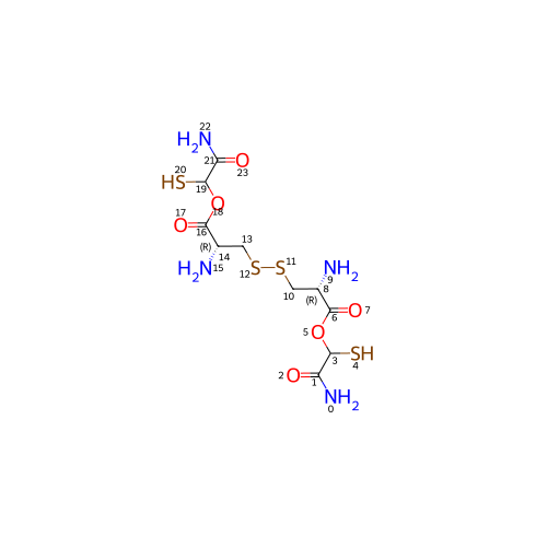 NC(=O)C(S)OC(=O)[C@@H](N)CSSC[C@H](N)C(=O)OC(S)C(N)=O